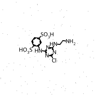 NCCNc1nc(Cl)nc(Nc2cc(S(=O)(=O)O)ccc2S(=O)(=O)O)n1